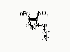 CCCc1nnn(N=[N+]=[N-])c1[N+](=O)[O-]